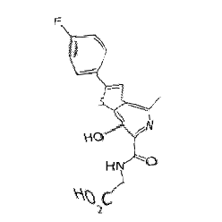 Cc1nc(C(=O)NCC(=O)O)c(O)c2sc(-c3ccc(F)cc3)cc12